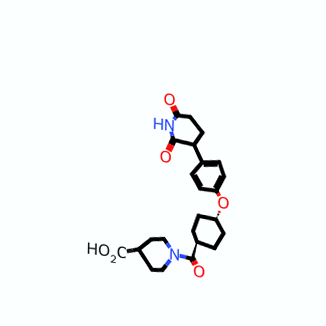 O=C1CCC(c2ccc(O[C@H]3CC[C@H](C(=O)N4CCC(C(=O)O)CC4)CC3)cc2)C(=O)N1